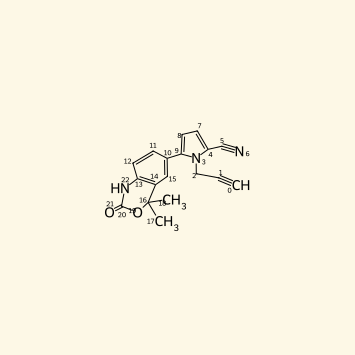 C#CCn1c(C#N)ccc1-c1ccc2c(c1)C(C)(C)OC(=O)N2